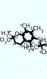 Cc1c(C)c([SiH2]C(C)(C)C(C)C)c(C)c2c1OC(C)(C(=O)O)CC2